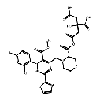 COC(=O)C1=C(CN2CCOC[C@H]2C(=O)OC(=O)CC(O)(CC(=O)O)C(=O)O)N=C(c2nccs2)N[C@H]1c1ccc(F)cc1Cl